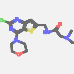 CN(C)CC(=O)NCc1cc2nc(Cl)nc(N3CCOCC3)c2s1